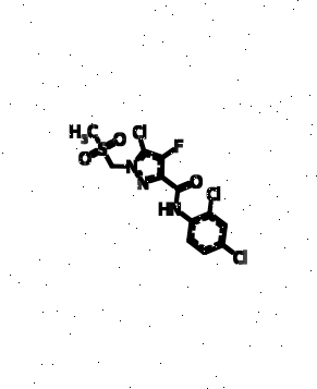 CS(=O)(=O)Cn1nc(C(=O)Nc2ccc(Cl)cc2Cl)c(F)c1Cl